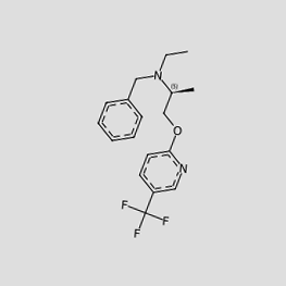 CCN(Cc1ccccc1)[C@@H](C)COc1ccc(C(F)(F)F)cn1